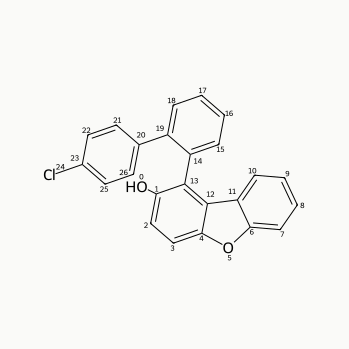 Oc1ccc2oc3ccccc3c2c1-c1ccccc1-c1ccc(Cl)cc1